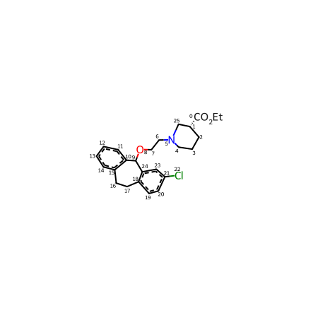 CCOC(=O)[C@@H]1CCCN(CCOC2c3ccccc3CCc3ccc(Cl)cc32)C1